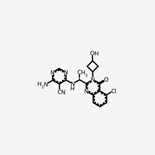 C[C@H](Nc1ncnc(N)c1C#N)c1nc2cccc(Cl)c2c(=O)n1C1CC(O)C1